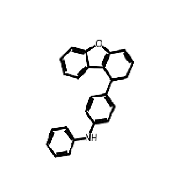 C1=Cc2oc3ccccc3c2C(c2ccc(Nc3ccccc3)cc2)C1